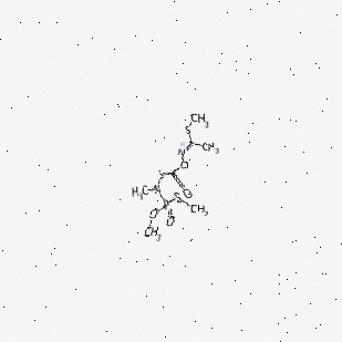 COP(=O)(SC)N(C)SC(=O)O/N=C(\C)SC